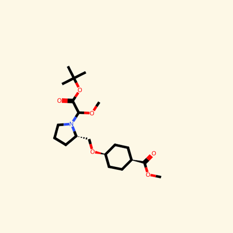 COC(=O)[C@H]1CC[C@@H](OC[C@@H]2CCCN2C(OC)C(=O)OC(C)(C)C)CC1